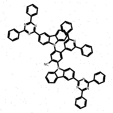 N#Cc1cc(-n2c3ccccc3c3cc(-c4nc(-c5ccccc5)nc(-c5ccccc5)n4)ccc32)c(-c2cc(-c3ccccc3)nc(-c3ccccc3)c2)cc1-n1c2ccccc2c2cc(-c3nc(-c4ccccc4)nc(-c4ccccc4)n3)ccc21